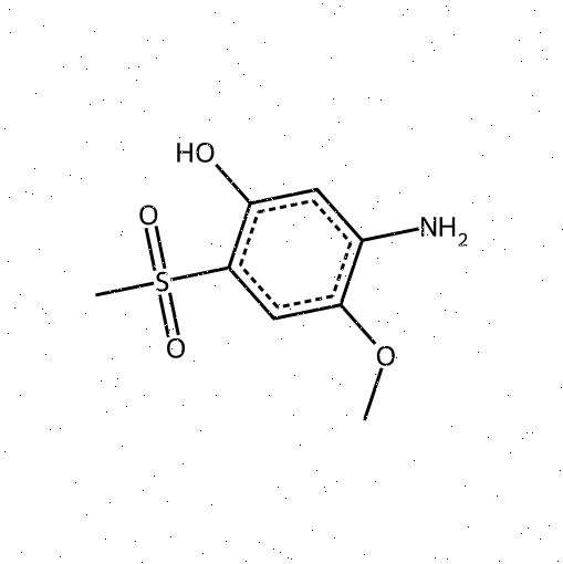 COc1cc(S(C)(=O)=O)c(O)cc1N